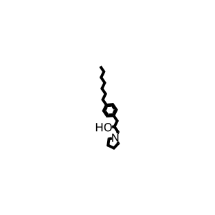 CCCCCCCc1ccc(CC(O)CN2CCCC2)cc1